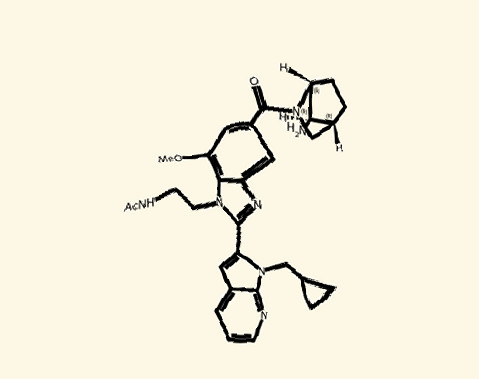 COc1cc(C(=O)N2C[C@H]3CC[C@@H]2[C@@H]3N)cc2nc(-c3cc4cccnc4n3CC3CC3)n(CCNC(C)=O)c12